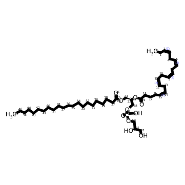 CC/C=C\C/C=C\C/C=C\C/C=C\C/C=C\CCCC(=O)O[C@H](COC(=O)CCCCCCCCCCCCCCCCCCCCC)COP(=O)(O)OC[C@@H](O)CO